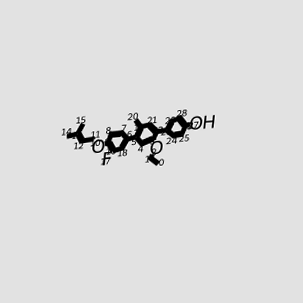 CCOc1cc(-c2ccc(OCC=C(C)C)c(F)c2)c(C)cc1-c1ccc(O)cc1